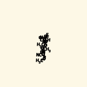 Cc1c(-c2nc3cc(CN4CCC[C@H]4C(=O)O)c(OC(F)F)cc3o2)cccc1-c1cccc(-c2nc3cc(CN4CC[C@@H](C)C4)cc(C#N)c3o2)c1C